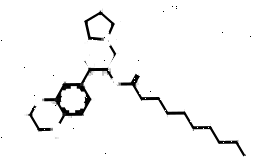 CCCCCCCCCC(=O)N[C@H](CN1CCCC1)[C@H](O)c1ccc2c(c1)OCCO2